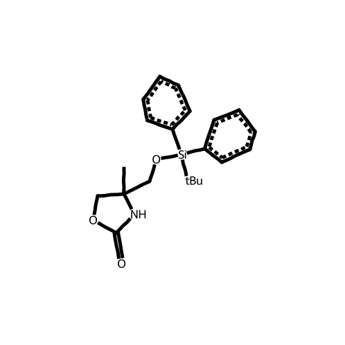 CC1(CO[Si](c2ccccc2)(c2ccccc2)C(C)(C)C)COC(=O)N1